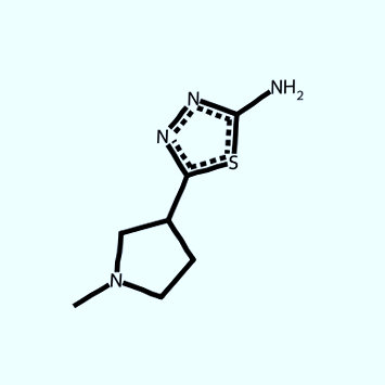 CN1CCC(c2nnc(N)s2)C1